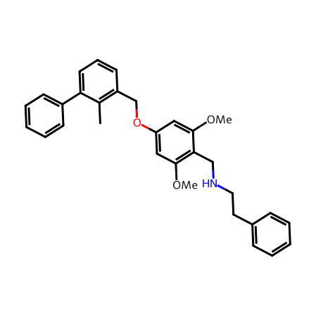 COc1cc(OCc2cccc(-c3ccccc3)c2C)cc(OC)c1CNCCc1ccccc1